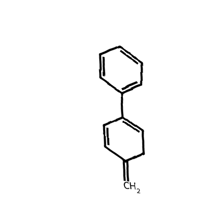 C=C1C=CC(c2ccccc2)=CC1